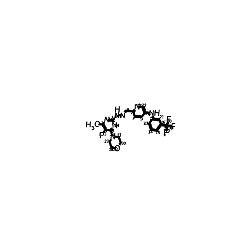 Cc1nc(N/N=C/c2ccc(Nc3cccc(C(F)(F)F)c3)cn2)nc(N2CCOCC2)c1F